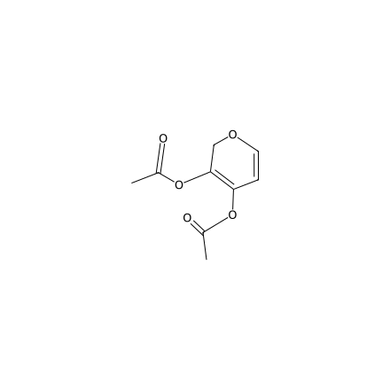 CC(=O)OC1=C(OC(C)=O)COC=C1